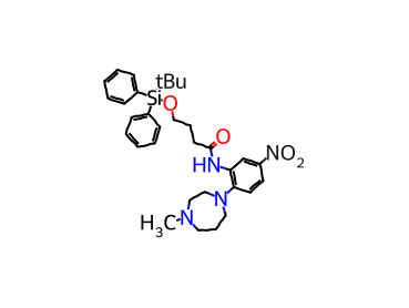 CN1CCCN(c2ccc([N+](=O)[O-])cc2NC(=O)CCCO[Si](c2ccccc2)(c2ccccc2)C(C)(C)C)CC1